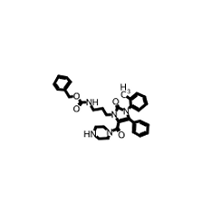 Cc1ccccc1-n1c(-c2ccccc2)c(C(=O)N2CCNCC2)n(CCCNC(=O)OCc2ccccc2)c1=O